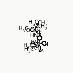 CO[C@@H]1C[C@H](C(=O)Nc2cc(C(CCC3CC3)(NS(=O)(=O)C(C)(C)C)c3ccncc3)ccc2F)N(C(=O)OC(C)(C)C)C1